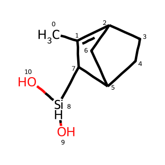 CC1=C2CCC(C2)C1[SiH](O)O